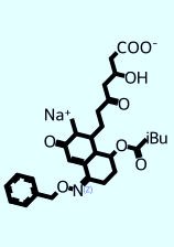 CCC(C)C(=O)OC1CC/C(=N/OCc2ccccc2)C2=CC(=O)C(C)C(CCC(=O)CC(O)CC(=O)[O-])C21.[Na+]